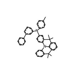 Cc1ccc(N(c2cccc(-c3ccccc3)c2)c2ccc3c(c2)C(C)(C)c2cccc4c2N3c2ccccc2C4(C)C)cc1